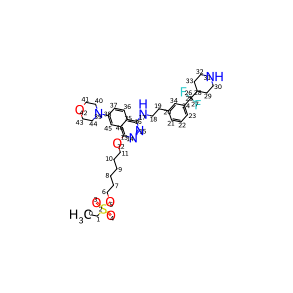 CCS(=O)(=O)OCCCCCCOc1nnc(NCCc2cccc(C(F)(F)C3CCNCC3)c2)c2ccc(N3CCOCC3)cc12